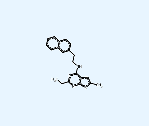 CCc1nc(NCCc2ccc3ccccc3c2)c2cc(C)sc2n1